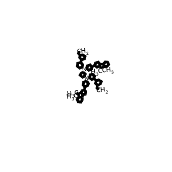 C=Cc1cccc(-c2cccc(N(c3ccc(-c4ccc5c(c4)C(C)(C)c4ccccc4-5)cc3)c3cccc(N(c4ccc(-c5ccc6c(c5)C(C)(C)c5ccccc5-6)cc4)c4cccc(-c5cccc(C=C)c5)c4)c3)c2)c1